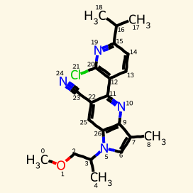 COCC(C)n1cc(C)c2nc(-c3ccc(C(C)C)nc3Cl)c(C#N)cc21